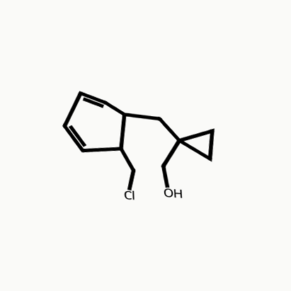 OCC1(CC2C=CC=CC2CCl)CC1